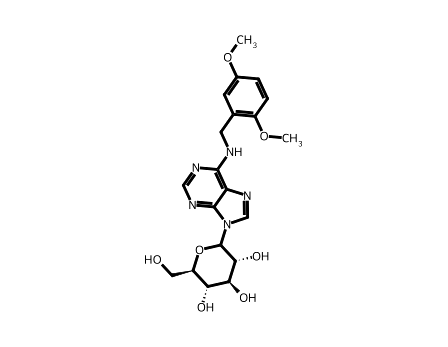 COc1ccc(OC)c(CNc2ncnc3c2ncn3C2O[C@H](CO)[C@@H](O)[C@H](O)[C@H]2O)c1